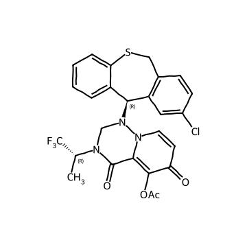 CC(=O)Oc1c2n(ccc1=O)N([C@@H]1c3cc(Cl)ccc3CSc3ccccc31)CN([C@H](C)C(F)(F)F)C2=O